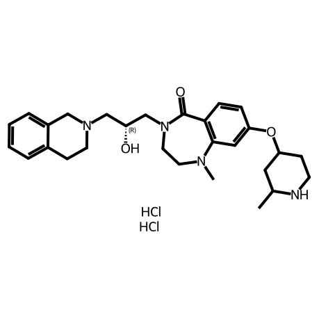 CC1CC(Oc2ccc3c(c2)N(C)CCN(C[C@H](O)CN2CCc4ccccc4C2)C3=O)CCN1.Cl.Cl